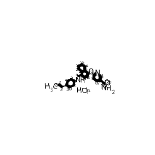 CCC[C@H]1CC[C@H](NCc2ccc(Oc3ccc(C(N)=O)cn3)c3ccccc23)CC1.Cl